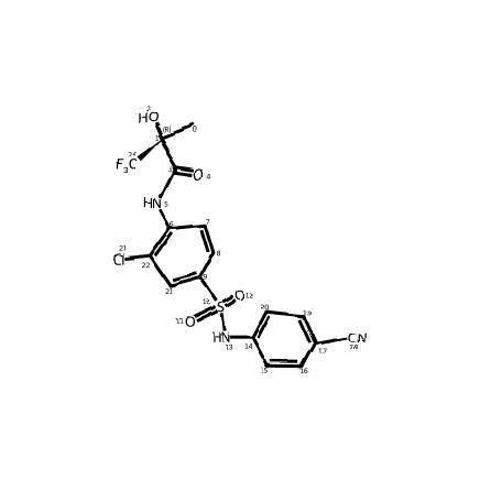 C[C@@](O)(C(=O)Nc1ccc(S(=O)(=O)Nc2ccc(C#N)cc2)cc1Cl)C(F)(F)F